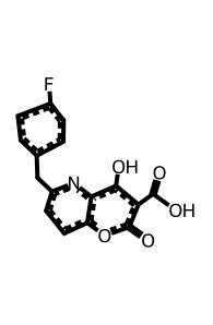 O=C(O)c1c(O)c2nc(Cc3ccc(F)cc3)ccc2oc1=O